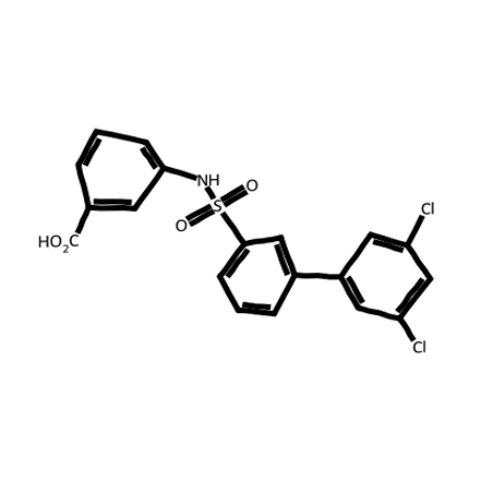 O=C(O)c1cccc(NS(=O)(=O)c2cccc(-c3cc(Cl)cc(Cl)c3)c2)c1